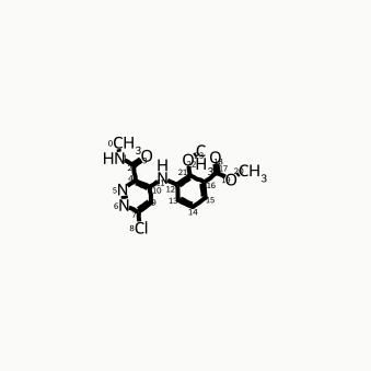 CNC(=O)c1nnc(Cl)cc1Nc1cccc(C(=O)OC)c1OC